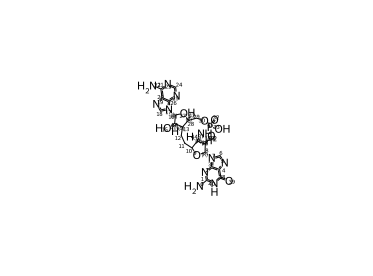 Nc1nc2c(ncn2[C@@H]2OC3CC[C@H]4[C@@H](O)[C@H](n5cnc6c(N)ncnc65)O[C@@H]4COP(=O)(O)O[C@@H]2[C@@H]3N)c(=O)[nH]1